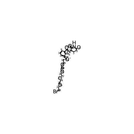 O=C1CCC(N2Cc3c(cccc3[S+]([O-])CCOCCOCCOCCOCCBr)C2=O)C(=O)N1